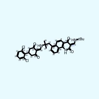 CC(C)(C)N/C=C1/C(=O)Nc2c(ccc3c(CC(C)(C)NC=C4C(=O)CC(c5c(Cl)cccc5Cl)CC4=O)cccc23)C1=O